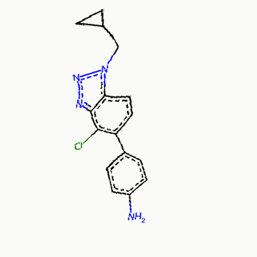 Nc1ccc(-c2ccc3c(nnn3CC3CC3)c2Cl)cc1